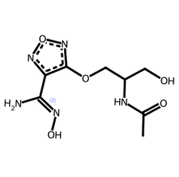 CC(=O)NC(CO)COc1nonc1/C(N)=N/O